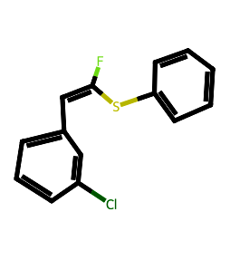 FC(=Cc1cccc(Cl)c1)Sc1ccccc1